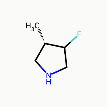 C[C@H]1CNCC1F